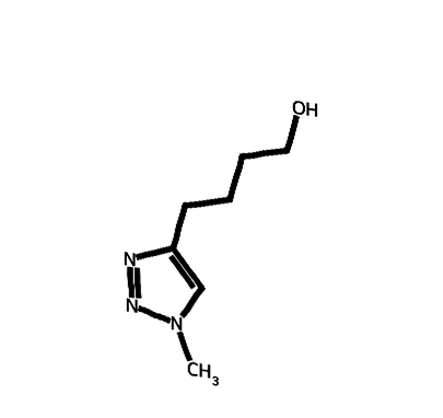 Cn1cc(CCCCO)nn1